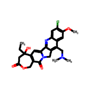 CCC1(O)CC(=O)OCc2c1cc1n(c2=O)Cc2c-1nc1cc(Cl)c(OC)cc1c2CN(C)C